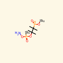 CC(C)(C)O[PH](=O)C(C)(C)C(C)(C)OP(=O)(ON)C(C)(C)C